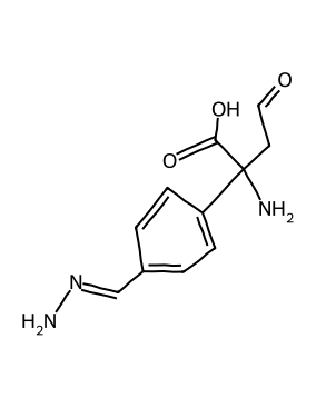 NN=Cc1ccc(C(N)(CC=O)C(=O)O)cc1